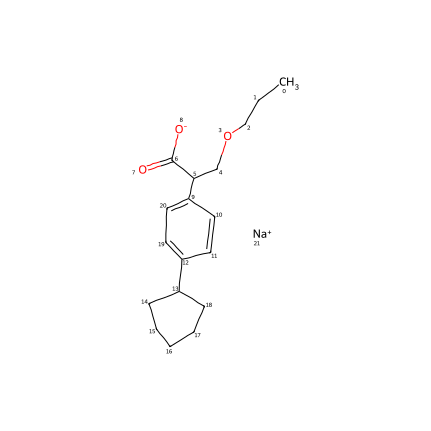 CCCOCC(C(=O)[O-])c1ccc(C2CCCCC2)cc1.[Na+]